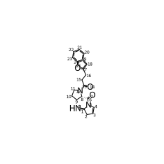 N=C1CC=CN1C(=O)[C@@H]1CCCN1C(=O)CCc1cc2ccccc2o1